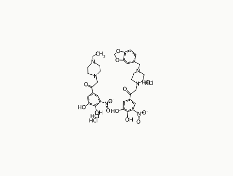 CCN1CCN(CC(=O)c2cc(O)c(O)c([N+](=O)[O-])c2)CC1.Cl.Cl.Cl.Cl.O=C(CN1CCN(Cc2ccc3c(c2)OCO3)CC1)c1cc(O)c(O)c([N+](=O)[O-])c1